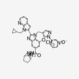 COc1cc(C(=O)N2CC3CCC2[C@@H]3N)cc2nc(-c3cc4cccnc4n3CC3CC3)n(Cc3cnn(-c4ccc[n+]([O-])c4)c3)c12